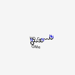 COc1ccc2nccc(CCC[C@@H]3CCN(CCCCc4ccnnc4)C[C@@H]3C(=O)O)c2c1